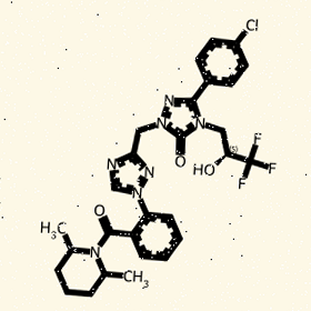 CC1CCCC(C)N1C(=O)c1ccccc1-n1cnc(Cn2nc(-c3ccc(Cl)cc3)n(C[C@H](O)C(F)(F)F)c2=O)n1